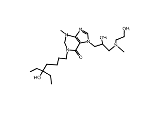 CCC(O)(CC)CCCCN1CN(C)c2ncn(CC(O)CN(C)CCO)c2C1=O